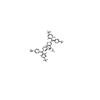 Cc1cc(C(C)(C)C)cc(C)c1N(c1ccc(Br)cc1)c1ccc2c(c1)[C@]13CC(C)C[C@]1(CC(C)C3)c1cc(N(c3ccc(Br)cc3)c3c(C)cc(C(C)(C)C)cc3C)ccc1-2